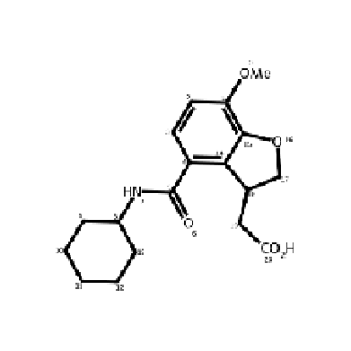 COc1ccc(C(=O)NC2CCCCC2)c2c1OCC2CC(=O)O